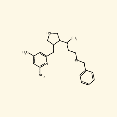 Cc1cc(N)nc(CC2CNCC2N(C)CCNCc2ccccc2)c1